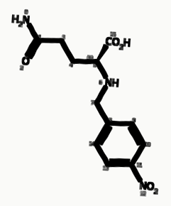 NC(=O)CC[C@H](NCc1ccc([N+](=O)[O-])cc1)C(=O)O